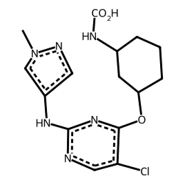 Cn1cc(Nc2ncc(Cl)c(OC3CCCC(NC(=O)O)C3)n2)cn1